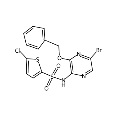 O=S(=O)(Nc1ncc(Br)nc1OCc1ccccc1)c1ccc(Cl)s1